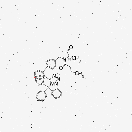 CCCC(=O)N(Cc1ccc(-c2ccccc2-c2nnnn2C(c2ccccc2)(c2ccccc2)c2ccccc2)cc1)[C@@H](C)C=O